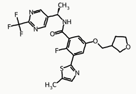 Cc1cnc(-c2cc(OCC3CCOC3)cc(C(=O)N[C@H](C)c3cnc(C(F)(F)F)nc3)c2F)s1